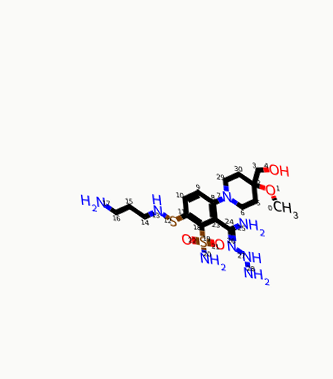 COC1(CO)CCN(c2ccc(SNCCCN)c(S(N)(=O)=O)c2/C(N)=N/NN)CC1